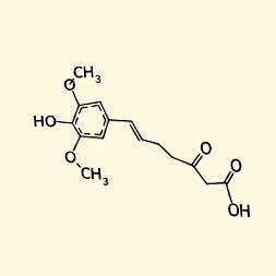 COc1cc(C=CCCC(=O)CC(=O)O)cc(OC)c1O